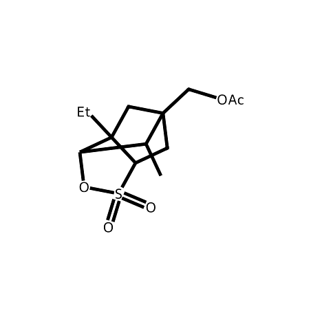 CCC12CC3(COC(C)=O)CC1S(=O)(=O)OC2C3C